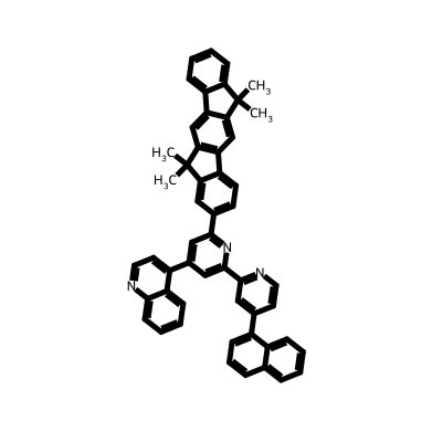 CC1(C)c2ccccc2-c2cc3c(cc21)-c1ccc(-c2cc(-c4ccnc5ccccc45)cc(-c4cc(-c5cccc6ccccc56)ccn4)n2)cc1C3(C)C